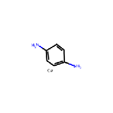 Nc1ccc(N)cc1.[Cu]